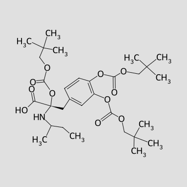 CCC(C)N[C@@](Cc1ccc(OC(=O)OCC(C)(C)C)c(OC(=O)OCC(C)(C)C)c1)(OC(=O)OCC(C)(C)C)C(=O)O